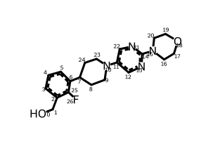 OCc1cccc(C2CCN(c3cnc(N4CCOCC4)nc3)CC2)c1F